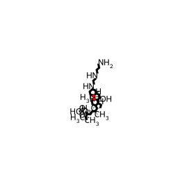 CC(C)C(CC[C@@H](C)[C@H]1CC[C@H]2[C@@H]3[C@H](O)C[C@H]4C[C@@H](NCCCNCCCCN)CC[C@]4(C)[C@H]3CC[C@]12C)OS(=O)(=O)O